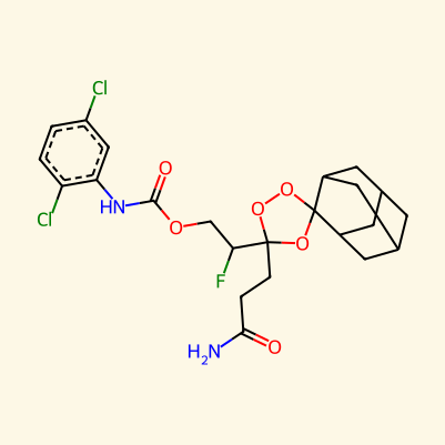 NC(=O)CCC1(C(F)COC(=O)Nc2cc(Cl)ccc2Cl)OOC2(O1)C1CC3CC(C1)CC2C3